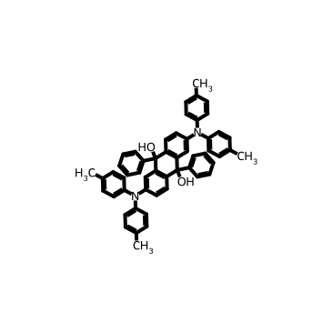 Cc1ccc(N(c2ccc(C)cc2)c2ccc3c(c2)C(O)(c2ccccc2)c2ccc(N(c4ccc(C)cc4)c4ccc(C)cc4)cc2C3(O)c2ccccc2)cc1